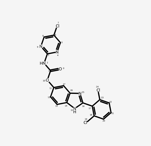 O=C(Nc1ncc(Cl)cn1)Oc1ccc2[nH]c(-c3c(Cl)cccc3Cl)nc2c1